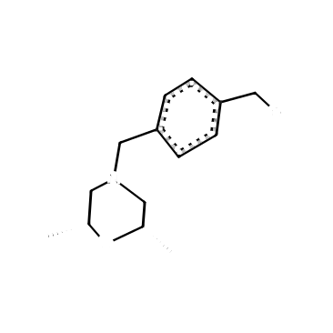 C[C@@H]1CN(Cc2ccc(C[O])cc2)C[C@H](C)O1